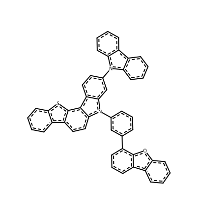 c1cc(-c2cccc3c2oc2ccccc23)cc(-n2c3cc(-n4c5ccccc5c5ccccc54)ccc3c3c4sc5ccccc5c4ccc32)c1